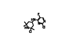 CC1(C)CC(Nc2nc(Cl)ncc2F)CC(C)(Cl)N1